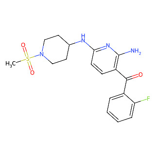 CS(=O)(=O)N1CCC(Nc2ccc(C(=O)c3ccccc3F)c(N)n2)CC1